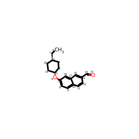 CC[C@H]1CC[C@@H](Oc2ccc3ccc(C=O)cc3c2)CC1